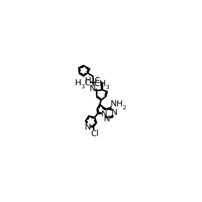 C/C=C1/C=CC(c2cc(-c3ccnc(Cl)c3)n3ncnc(N)c23)=C/C1=N/C(C)(C)Cc1ccccc1